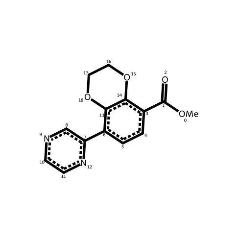 COC(=O)c1ccc(-c2cnccn2)c2c1OCCO2